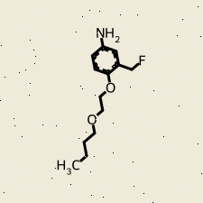 CCCCOCCOc1ccc(N)cc1CF